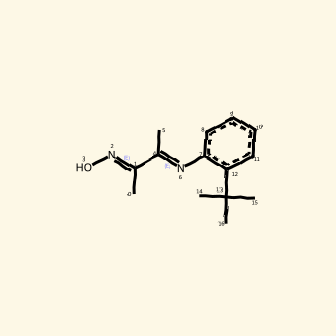 CC(=N\O)/C(C)=N/c1ccccc1C(C)(C)C